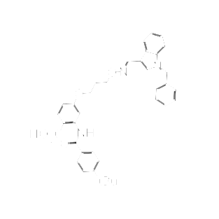 CC(C)(C)c1ccc(C(=O)Nc2cc(OCCCON=Cc3cn(Cc4ccccc4)c4ccccc34)ccc2C(=O)O)cc1